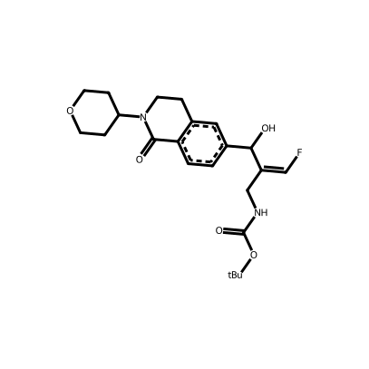 CC(C)(C)OC(=O)NC/C(=C/F)C(O)c1ccc2c(c1)CCN(C1CCOCC1)C2=O